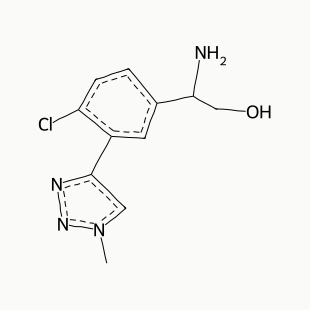 Cn1cc(-c2cc(C(N)CO)ccc2Cl)nn1